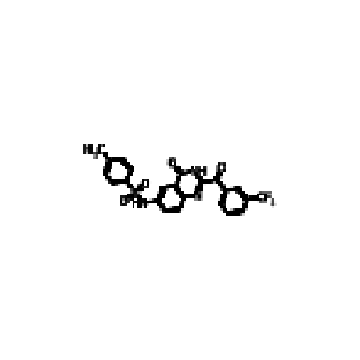 Cc1ccc(S(=O)(=O)Nc2ccc3nc(C(=O)c4cccc(C(F)(F)F)c4)[nH]c(=O)c3c2)cc1